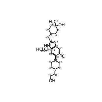 CC1(O)CCC(Sc2nc3cc(Cl)c(N4CCN(CCO)CC4)cc3[nH]2)CC1.Cl.Cl